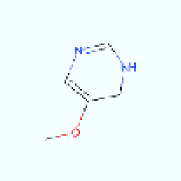 COC1=CN=[C]NC1